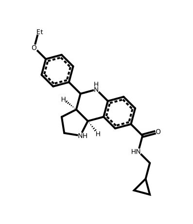 CCOc1ccc(C2Nc3ccc(C(=O)NCC4CC4)cc3[C@H]3NCC[C@@H]23)cc1